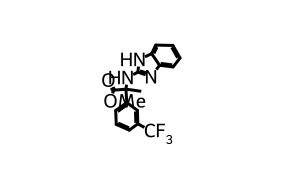 COC(=O)C(C)(Nc1nc2ccccc2[nH]1)c1cccc(C(F)(F)F)c1